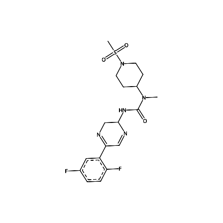 CN(C(=O)NC1CN=C(c2cc(F)ccc2F)C=N1)C1CCN(S(C)(=O)=O)CC1